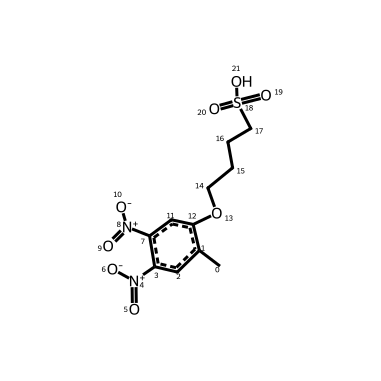 Cc1cc([N+](=O)[O-])c([N+](=O)[O-])cc1OCCCCS(=O)(=O)O